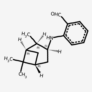 C[C@H]1[C@@H](Nc2ccccc2C=O)C[C@H]2C[C@H]1C2(C)C